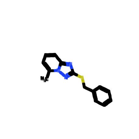 Cc1cccc2nc(SCc3ccccc3)nn12